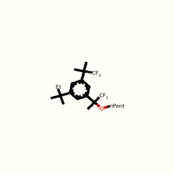 CCCCCOC(C)(c1cc(C(C)(C)CC)cc(C(C)(C)C(F)(F)F)c1)C(F)(F)F